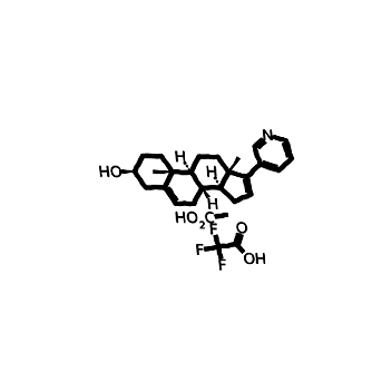 CC(=O)O.C[C@]12CC[C@H](O)CC1=CC[C@@H]1[C@@H]2CC[C@]2(C)C(c3cccnc3)=CC[C@@H]12.O=C(O)C(F)(F)F